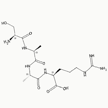 C[C@H](NC(=O)[C@H](C)NC(=O)[C@@H](N)CO)C(=O)N[C@@H](CCCNC(=N)N)C(=O)O